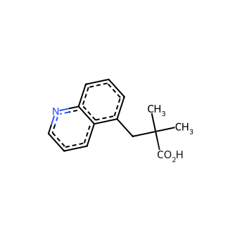 CC(C)(Cc1cccc2ncccc12)C(=O)O